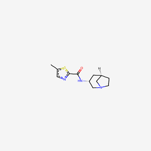 Cc1cnc(C(=O)N[C@@H]2C[C@H]3CCN(C3)C2)s1